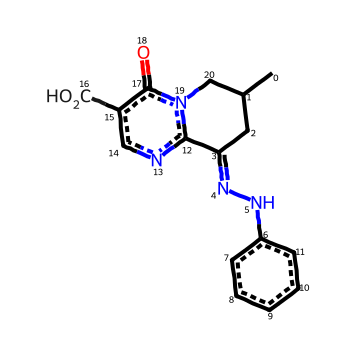 CC1C/C(=N\Nc2ccccc2)c2ncc(C(=O)O)c(=O)n2C1